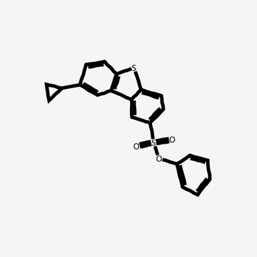 O=S(=O)(Oc1ccccc1)c1ccc2sc3ccc(C4CC4)cc3c2c1